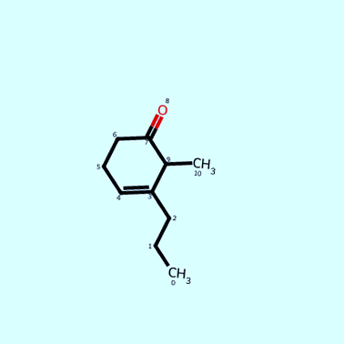 CCCC1=CCCC(=O)C1C